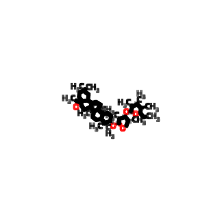 CCC1O[C@@H](O[C@@H]2C(C)[C@H](O[C@H]3CC[C@@]4(C)C(CC[C@]5(C)C4CC=C4C6CC(C)(C)CC[C@]6(C(C)=O)CC[C@]45C)C3(C)C)OC[C@H]2C)C(C)[C@@H](C)[C@H]1C